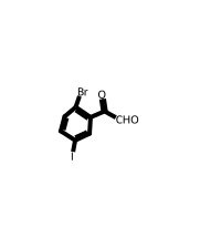 O=CC(=O)c1cc(I)ccc1Br